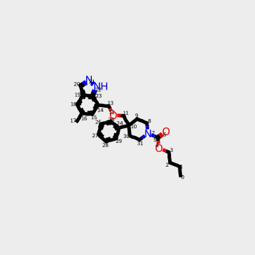 CCCCOC(=O)N1CCC(COCc2cc(C)cc3cn[nH]c23)(c2ccccc2)CC1